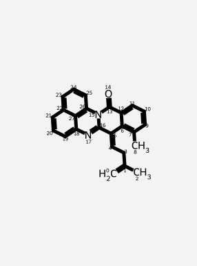 C=C(C)C/C=c1\c2c(C)cccc2c(=O)n2c1nc1cccc3cccc2c31